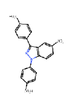 O=C(O)c1ccc(-c2nn(-c3ccc(C(=O)O)cc3)c3ccc([N+](=O)[O-])cc23)cc1